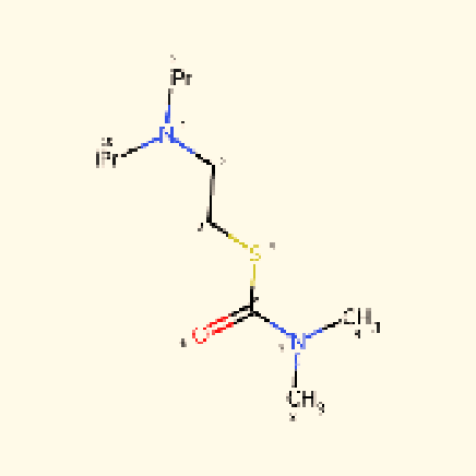 CC(C)N(CCSC(=O)N(C)C)C(C)C